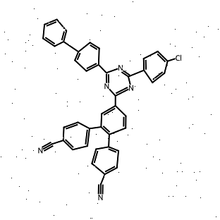 N#Cc1ccc(-c2ccc(-c3nc(-c4ccc(Cl)cc4)nc(-c4ccc(-c5ccccc5)cc4)n3)cc2-c2ccc(C#N)cc2)cc1